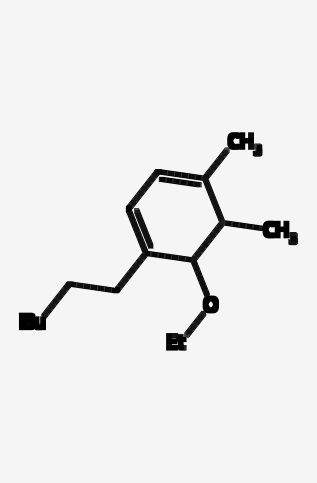 CCOC1C(CCC(C)CC)=CC=C(C)C1C